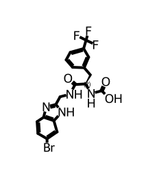 O=C(O)N[C@H](Cc1cccc(C(F)(F)F)c1)C(=O)NCc1nc2ccc(Br)cc2[nH]1